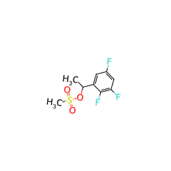 CC(OS(C)(=O)=O)c1cc(F)cc(F)c1F